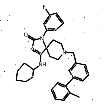 Cc1ccccc1-c1cccc(CN2CCC3(CC2)C(NC2CCCCC2)=NC(=O)N3c2cccc(F)c2)c1